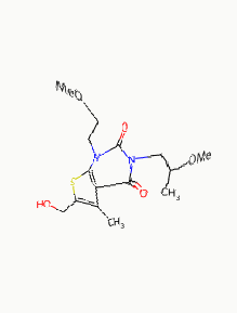 COCCn1c(=O)n(CC(C)OC)c(=O)c2c(C)c(CO)sc21